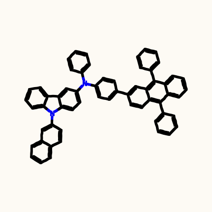 c1ccc(-c2c3ccccc3c(-c3ccccc3)c3cc(-c4ccc(N(c5ccccc5)c5ccc6c(c5)c5ccccc5n6-c5ccc6ccccc6c5)cc4)ccc23)cc1